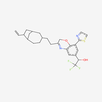 C=CC1CC2CC(CCC3=Nc4cc(C(O)C(F)(F)F)cc(-c5nccs5)c4OC3)CCC1C2